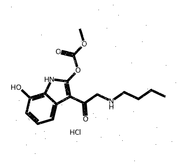 CCCCNCC(=O)c1c(OC(=O)OC)[nH]c2c(O)cccc12.Cl